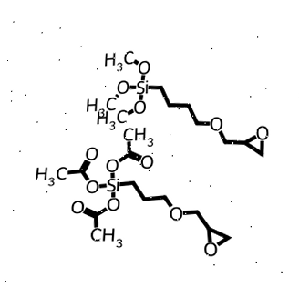 CC(=O)O[Si](CCCOCC1CO1)(OC(C)=O)OC(C)=O.CO[Si](CCCCOCC1CO1)(OC)OC